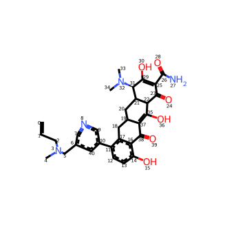 C=CCN(C)Cc1cncc(-c2ccc(O)c3c2CC2CC4C(C(=O)C(C(N)=O)=C(O)[C@@H]4N(C)C)C(O)=C2C3=O)c1